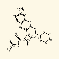 Nc1cc(CN(CCC2CCCCC2)C(=O)[C@H]2C(=O)N[C@@H]2C(=O)OC(=O)C(F)(F)F)ccn1